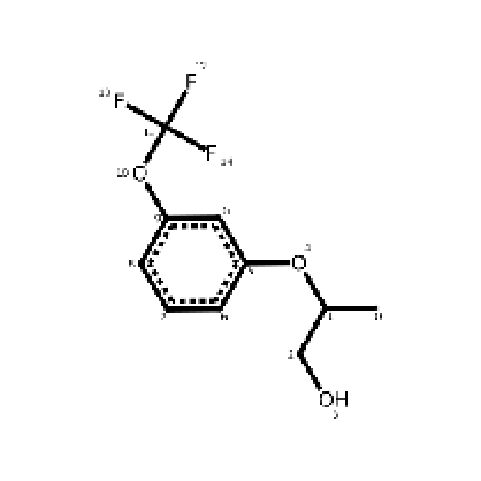 CC(CO)Oc1cccc(OC(F)(F)F)c1